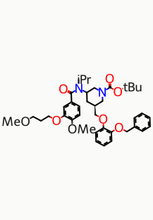 COCCCOc1cc(C(=O)N(C(C)C)C2C[C@H](COc3ccccc3OCc3ccccc3)CN(C(=O)OC(C)(C)C)C2)ccc1OC